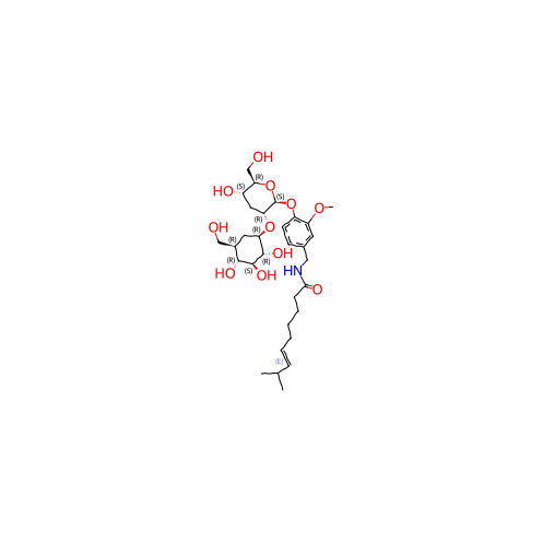 COc1cc(CNC(=O)CCCC/C=C/C(C)C)ccc1O[C@@H]1O[C@H](CO)[C@@H](O)C[C@H]1O[C@@H]1C[C@H](CO)[C@@H](O)[C@H](O)[C@H]1O